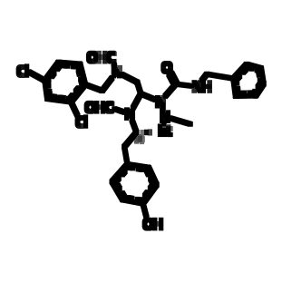 CCN(C)N(C(=O)NCc1ccccc1)C(CN(C=O)Cc1ccc(Cl)cc1Cl)N(C=O)[C@H](C)Cc1ccc(O)cc1